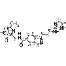 CC(=O)N[C@@H](CNC(=O)c1ccc2c(cnn2CCCNc2ncc[nH]2)c1)C(=O)O